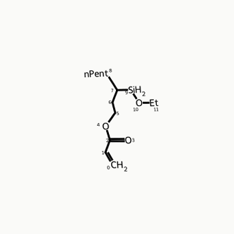 C=CC(=O)OCCC(CCCCC)[SiH2]OCC